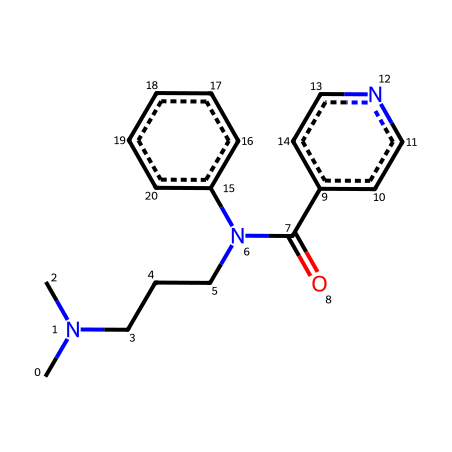 CN(C)CCCN(C(=O)c1ccncc1)c1ccccc1